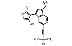 CCn1cc(-c2c(O)n[nH]c2O)c2cc(C#CC(C)(C)O)ncc21